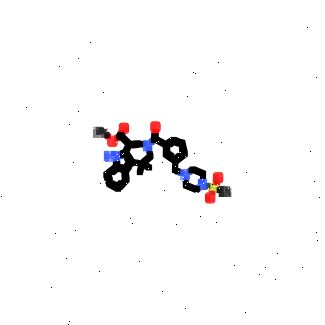 CCS(=O)(=O)N1CCN(Cc2cccc(C(=O)N3C=C(C(=O)OC(C)C)c4[nH]c5ccccc5c4C(C)(C)C3)c2)CC1